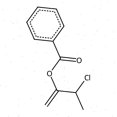 C=C(OC(=O)c1ccccc1)C(C)Cl